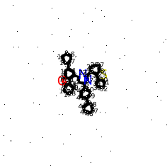 CCC1C(c2cc(-c3ccccc3)cc3oc4ccccc4c23)=NC(c2cccc3sc4ccccc4c23)=NC1c1ccc(-c2ccccc2)cc1